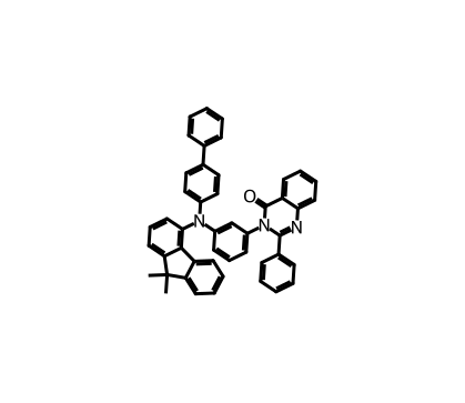 CC1(C)c2ccccc2-c2c(N(c3ccc(-c4ccccc4)cc3)c3cccc(-n4c(-c5ccccc5)nc5ccccc5c4=O)c3)cccc21